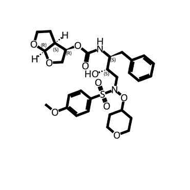 COc1ccc(S(=O)(=O)N(C[C@H](O)[C@H](Cc2ccccc2)NC(=O)O[C@H]2CO[C@H]3OCC[C@H]32)OC2CCOCC2)cc1